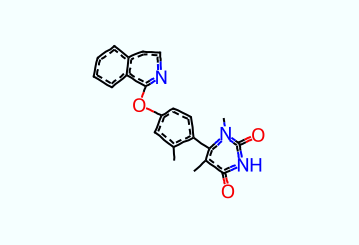 Cc1cc(Oc2nccc3ccccc23)ccc1-c1c(C)c(=O)[nH]c(=O)n1C